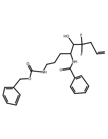 C=CCC(F)(F)C(O)C(CCCNC(=O)OCc1ccccc1)NC(=O)c1ccccc1